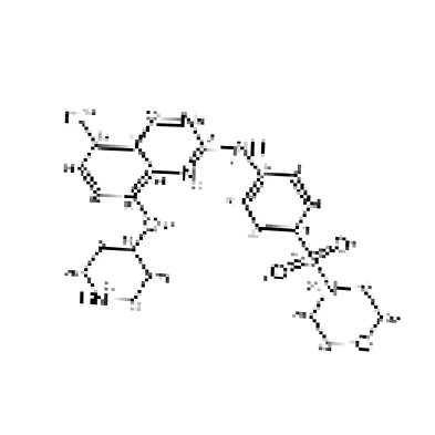 O=S(=O)(c1ccc(Nc2ncc3c(Cl)ccc(OC4CCNCC4)c3n2)cc1)N1CCOCC1